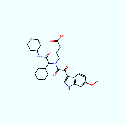 COc1ccc2c(C(=O)C(=O)N(CCCC(=O)O)C(C(=O)NC3CCCCC3)C3CCCCC3)c[nH]c2c1